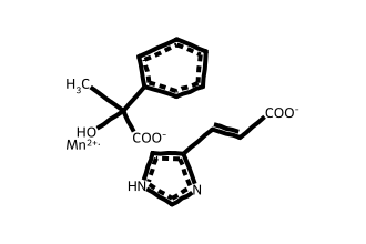 CC(O)(C(=O)[O-])c1ccccc1.O=C([O-])C=Cc1c[nH]cn1.[Mn+2]